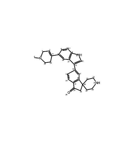 CN1CC=C(c2cnc3[nH]cc(-c4ccc5c(c4)C4(CCNCC4)CC5=O)c3c2)CC1